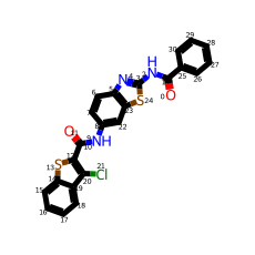 O=C(Nc1nc2ccc(NC(=O)c3sc4ccccc4c3Cl)cc2s1)c1ccccc1